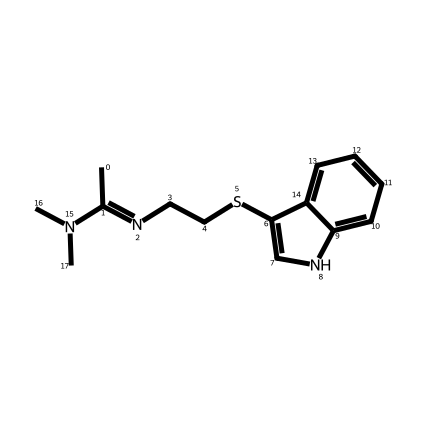 C/C(=N\CCSc1c[nH]c2ccccc12)N(C)C